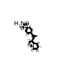 NS(=O)(=O)c1ccc(C2CC2c2cnn3ccccc23)cc1